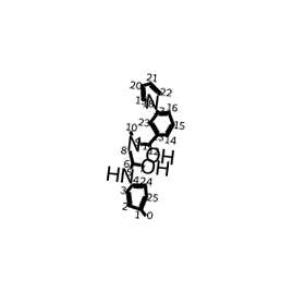 Cc1ccc(NC(O)CN(C)C(O)c2cccc(-n3cccc3)c2)cc1